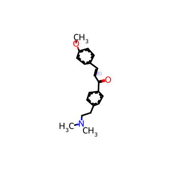 COc1ccc(/C=C/C(=O)c2ccc(CCN(C)C)cc2)cc1